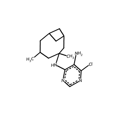 CC1CC2CC(C2)CC(C)(Nc2ncnc(Cl)c2N)C1